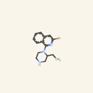 CCC1CNCCN1c1nc(Br)cc2ccccc12